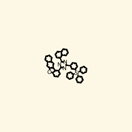 c1ccc([Si](c2ccccc2)(c2ccccc2)c2cccc(-c3nc(-c4cccc5ccccc45)nc(-c4cccc5oc6cc7ccccc7cc6c45)n3)c2)cc1